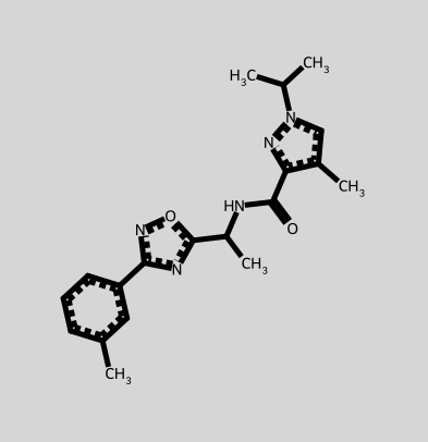 Cc1cccc(-c2noc(C(C)NC(=O)c3nn(C(C)C)cc3C)n2)c1